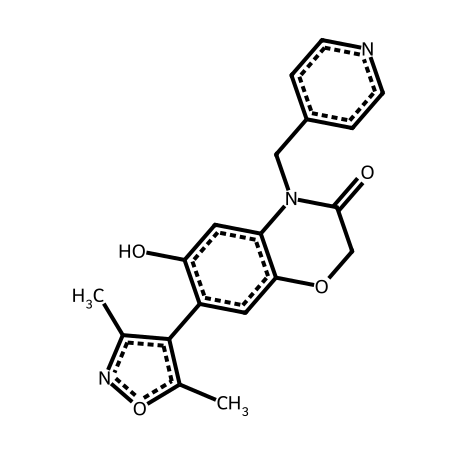 Cc1noc(C)c1-c1cc2c(cc1O)N(Cc1ccncc1)C(=O)CO2